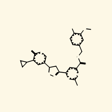 COc1cc(CNC(=O)c2cc(C3=NOC(c4c[nH]c(=O)c(C5CC5)c4)C3)nc(C)n2)ccc1F